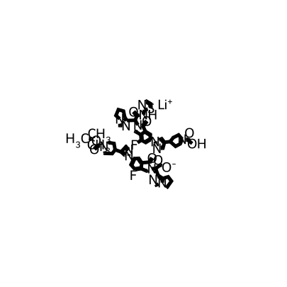 CC(C)(C)OC(=O)N1CCC(c2cnn(-c3cc(F)c4c(c3)C(=O)N(C(C(=O)[O-])c3ncn5c3CCC5)C4)c2)CC1.O=C(Nc1nccs1)C(c1ncn2c1CCC2)N1Cc2c(F)cc(-n3cc(C4CCN(C(=O)O)CC4)cn3)cc2C1=O.[Li+]